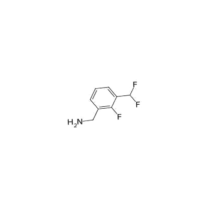 NCc1cccc(C(F)F)c1F